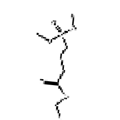 CCOC(=O)CCCP(=O)(OC)OC